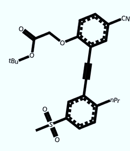 CCCc1ccc(S(C)(=O)=O)cc1C#Cc1cc(C#N)ccc1OCC(=O)OC(C)(C)C